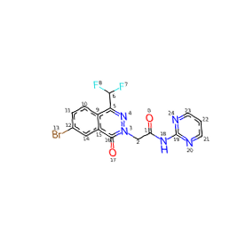 O=C(Cn1nc(C(F)F)c2ccc(Br)cc2c1=O)Nc1ncccn1